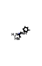 N=C/C(N)=C\NC1CCCCC1